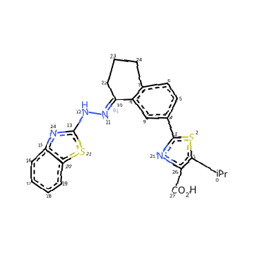 CC(C)c1sc(-c2ccc3c(c2)/C(=N/Nc2nc4ccccc4s2)CCC3)nc1C(=O)O